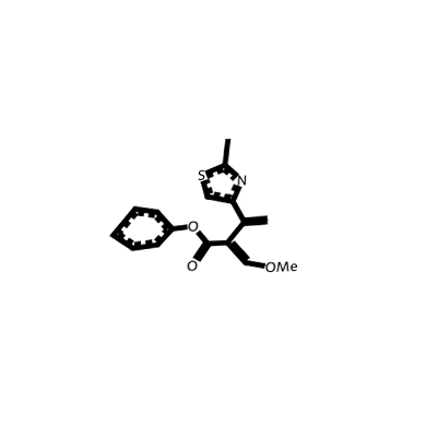 C=C(C(=COC)C(=O)Oc1ccccc1)c1csc(C)n1